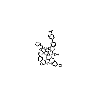 CN(C)c1ccc(-c2ccc(C[C@H](NC(=O)[C@@H](NC(=O)CN3CCCC3)C(C)(C)C)[C@@H](O)C[C@@H](Cc3cccc(Cl)c3)C(=O)N[C@H]3c4cc(F)ccc4OC[C@H]3O)cc2)cn1